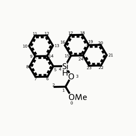 COC(C)O[SiH](c1cccc2ccccc12)c1cccc2ccccc12